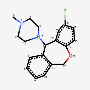 CN1CCN(C2c3ccccc3COc3ccc(F)cc32)CC1